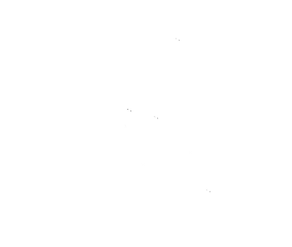 COc1ccc(-c2c(-c3ccc(C#N)cc3)nc(OCC3CCNCC3)n(C)c2=O)cc1F